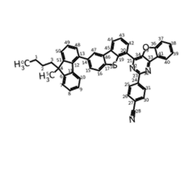 CCCCC1(C)c2ccccc2-c2c(-c3ccc4sc5c(-c6nc(-c7ccc(C#N)cc7)nc7c6oc6ccccc67)cccc5c4c3)cccc21